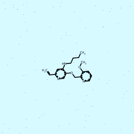 C=Cc1cc(NCCCC)c(OCc2ncccc2OC)cn1